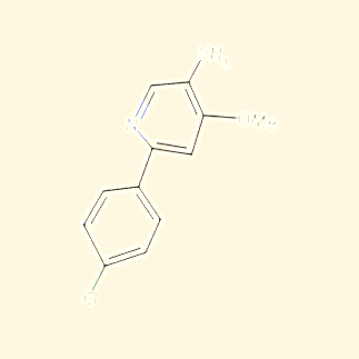 COc1cc(-c2ccc(Cl)cc2)ncc1C